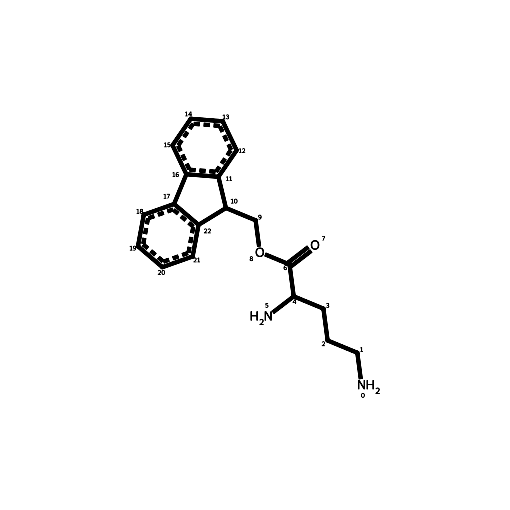 NCCCC(N)C(=O)OCC1c2ccccc2-c2ccccc21